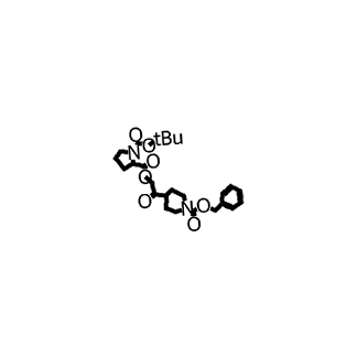 CC(C)(C)OC(=O)N1CCCC1C(=O)OCC(=O)C1CCN(C(=O)OCc2ccccc2)CC1